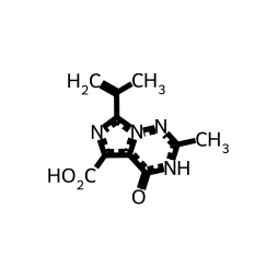 C=C(C)c1nc(C(=O)O)c2c(=O)[nH]c(C)nn12